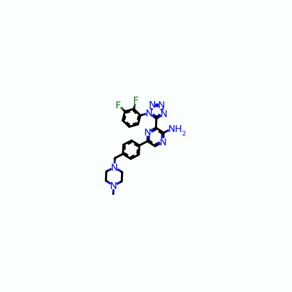 CN1CCN(Cc2ccc(-c3cnc(N)c(-c4nnnn4-c4cccc(F)c4F)n3)cc2)CC1